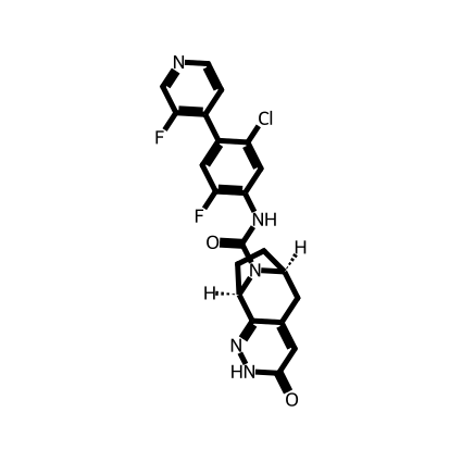 O=C(Nc1cc(Cl)c(-c2ccncc2F)cc1F)N1[C@H]2CC[C@@H]1c1n[nH]c(=O)cc1C2